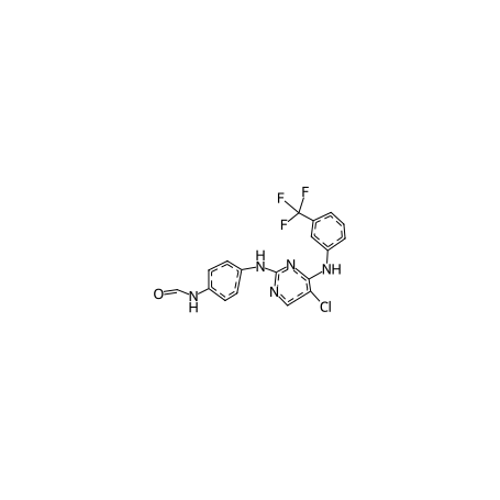 O=CNc1ccc(Nc2ncc(Cl)c(Nc3cccc(C(F)(F)F)c3)n2)cc1